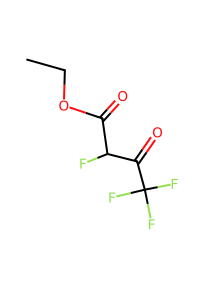 CCOC(=O)C(F)C(=O)C(F)(F)F